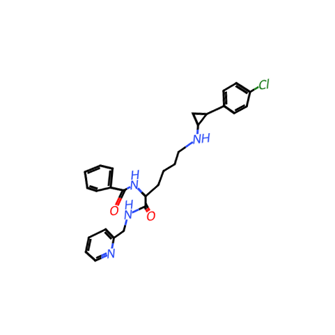 O=C(NC(CCCCNC1CC1c1ccc(Cl)cc1)C(=O)NCc1ccccn1)c1ccccc1